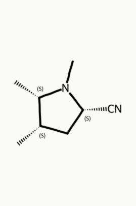 C[C@H]1C[C@@H](C#N)N(C)[C@H]1C